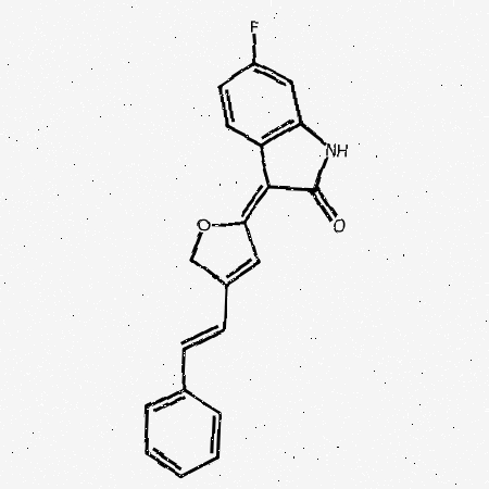 O=C1Nc2cc(F)ccc2C1=C1C=C(C=Cc2ccccc2)CO1